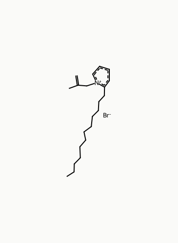 C=C(C)C[n+]1ccccc1CCCCCCCCCCCC.[Br-]